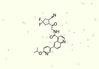 CC(C)Oc1ccc(-c2ccc3nccc(C(=O)NCC(=O)C4CC(F)(F)CC4C#N)c3c2)cn1